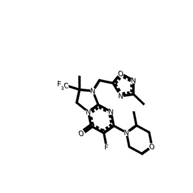 Cc1noc(CN2c3nc(N4CCOCC4C)c(F)c(=O)n3CC2(C)C(F)(F)F)n1